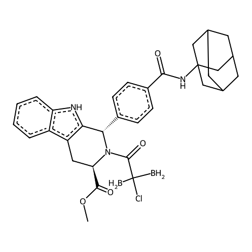 BC(B)(Cl)C(=O)N1[C@@H](c2ccc(C(=O)NC34CC5CC(CC(C5)C3)C4)cc2)c2[nH]c3ccccc3c2C[C@@H]1C(=O)OC